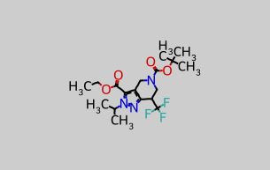 CCOC(=O)c1c2c(nn1C(C)C)C(C(F)(F)F)CN(C(=O)OC(C)(C)C)C2